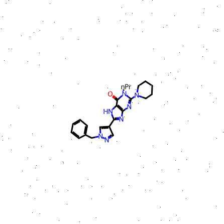 CCCn1c(N2CCCCC2)nc2nc(-c3cnn(Cc4ccccc4)c3)[nH]c2c1=O